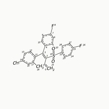 C=C/C(=C(/c1ccc(F)cc1)c1ccc(Cl)cc1C)S(=O)(=O)c1ccc(F)cc1